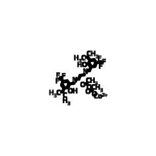 CC(=O)[O-].CC(=O)[O-].CC(C)c1cc(C(F)(F)F)cc(C=NCCCN=Cc2cc(C(F)(F)F)cc(C(C)C)c2O)c1O.[Co+2]